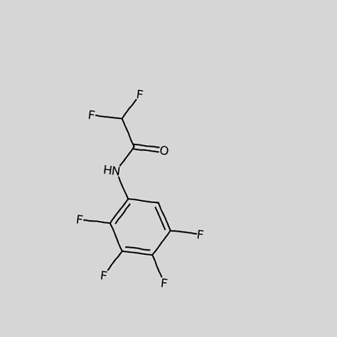 O=C(Nc1cc(F)c(F)c(F)c1F)C(F)F